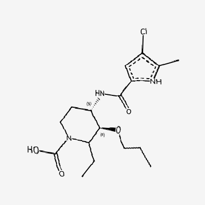 CCCO[C@H]1C(CC)N(C(=O)O)CC[C@@H]1NC(=O)c1cc(Cl)c(C)[nH]1